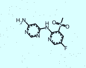 CS(=O)(=O)c1cc(F)cnc1Nc1cc(N)ncn1